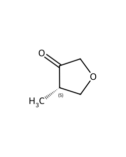 C[C@H]1COCC1=O